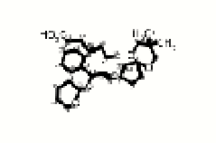 CC1(C)COC2(CC[C@@H](C=CC(OC3CCCCO3)C3CCCCC3)[C@@H]2CCC=CCCC(=O)O)OC1